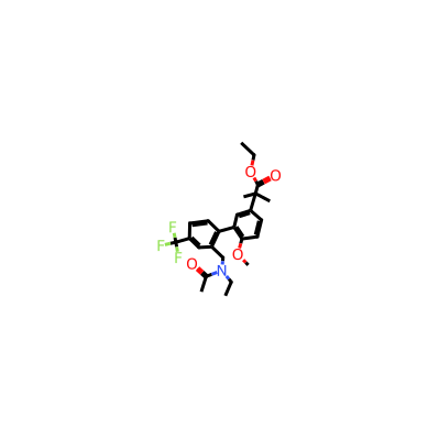 CCOC(=O)C(C)(C)c1ccc(OC)c(-c2ccc(C(F)(F)F)cc2CN(CC)C(C)=O)c1